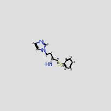 [NH][C@H](CCn1ccnc1)CSc1ccccc1